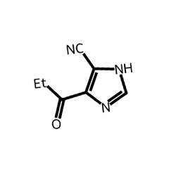 CCC(=O)c1nc[nH]c1C#N